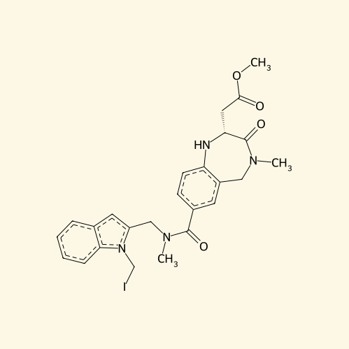 COC(=O)C[C@H]1Nc2ccc(C(=O)N(C)Cc3cc4ccccc4n3CI)cc2CN(C)C1=O